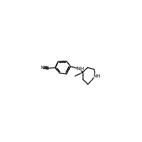 CC1(Nc2ccc(C#N)cc2)CCNCC1